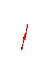 CCCCCCCCC=CCCCCCCCCCCCC(=O)OCCCCCCCCCCCCCCCCCCCCCCCCC(C)C